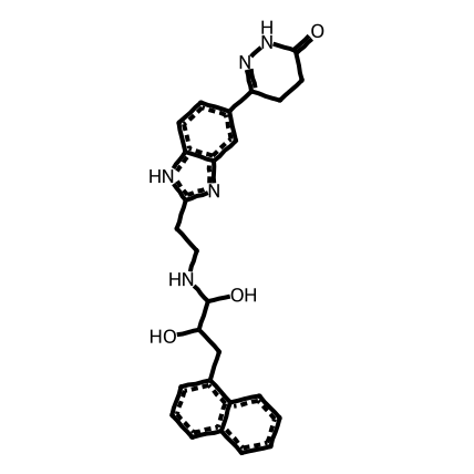 O=C1CCC(c2ccc3[nH]c(CCNC(O)C(O)Cc4cccc5ccccc45)nc3c2)=NN1